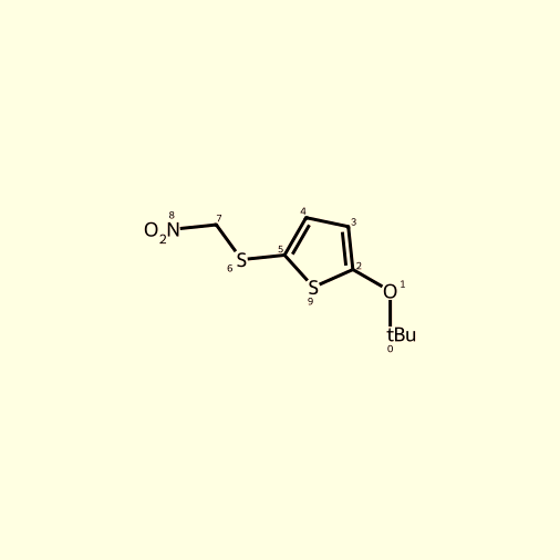 CC(C)(C)Oc1ccc(SC[N+](=O)[O-])s1